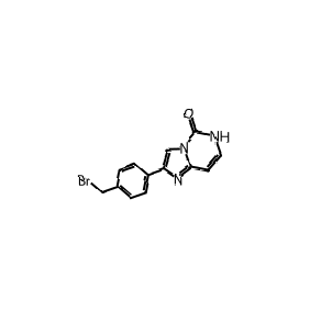 O=c1[nH]ccc2nc(-c3ccc(CBr)cc3)cn12